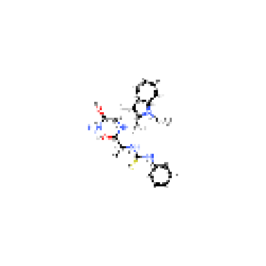 C[C@H](NC(=S)Nc1ccccc1)C(=O)N[C@@H](Cc1c(C(C)(C)C)n(C(=O)O)c2ccccc12)C(N)=O